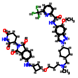 COc1cc2nn([C@H]3CC[C@H](CN(C)CCCO[C@H]4C[C@H](Nc5ccc6c(c5)C(=O)N(C5CCC(=O)NC5=O)C6=O)C4)CC3)cc2cc1NC(=O)c1cccc(C(F)(F)F)n1